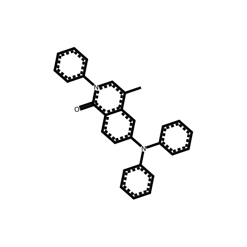 Cc1cn(-c2ccccc2)c(=O)c2ccc(N(c3ccccc3)c3ccccc3)cc12